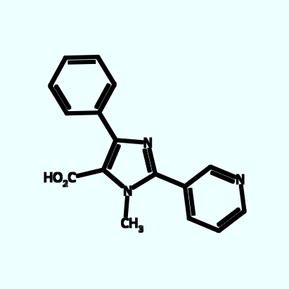 Cn1c(-c2cccnc2)nc(-c2ccccc2)c1C(=O)O